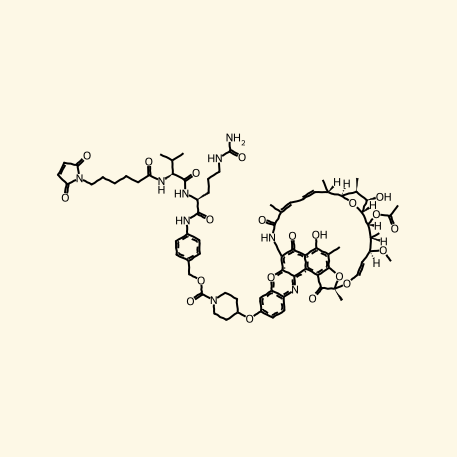 CO[C@H]1/C=C/O[C@@]2(C)Oc3c(C)c(O)c4c(=O)c(c5oc6cc(OC7CCN(C(=O)OCc8ccc(NC(=O)[C@H](CCCNC(N)=O)NC(=O)[C@@H](NC(=O)CCCCCN9C(=O)C=CC9=O)C(C)C)cc8)CC7)ccc6nc-5c4c3C2=O)NC(=O)/C(C)=C\C=C\[C@H](C)[C@@H]2O[C@H]([C@H](O)[C@@H]2C)[C@H](OC(C)=O)[C@@H]1C